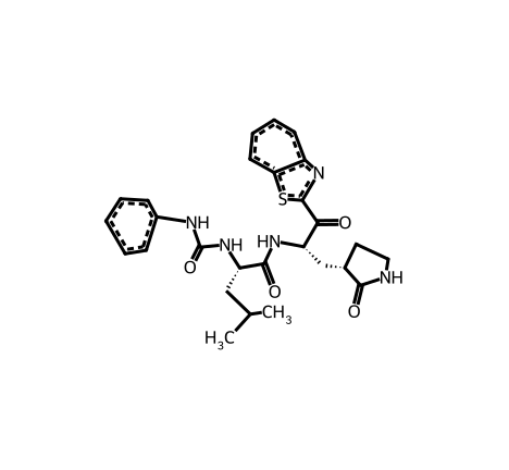 CC(C)C[C@H](NC(=O)Nc1ccccc1)C(=O)N[C@@H](C[C@@H]1CCNC1=O)C(=O)c1nc2ccccc2s1